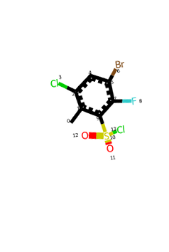 Cc1c(Cl)cc(Br)c(F)c1S(=O)(=O)Cl